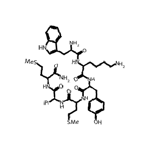 CSCCC(NC(=O)C(NC(=O)C(CCSC)NC(=O)C(Cc1ccc(O)cc1)NC(=O)C(CCCCN)NC(=O)C(N)Cc1c[nH]c2ccccc12)C(C)C)C(N)=O